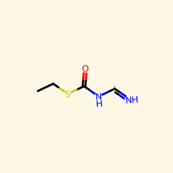 CCSC(=O)N[C]=N